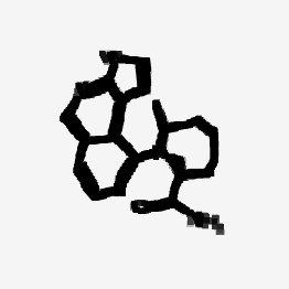 CC1CC[CH]C(C(N)=O)N1c1nccc2cnc3[nH]ccc3c12